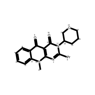 CC(C)c1nc2c(c(=O)c3ccccc3n2C)c(=O)n1C1CCCOC1